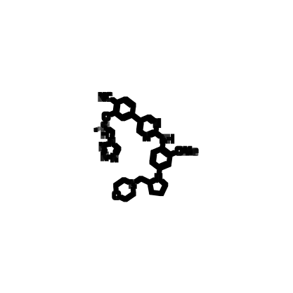 COc1cc(N2CCCC2CN2CCOCC2)ccc1Nc1ncc(-c2ccc(C#N)c(O[Si@@H](C)Cn3cnnn3)c2)cn1